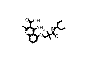 CCC(CC)NC(=O)C(C)(C)COc1cccc2nc(C)c(C(=O)O)c(N)c12